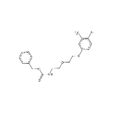 CC(=O)c1ccc(OCCOCCNC(=O)OCc2ccccc2)cc1C(F)(F)F